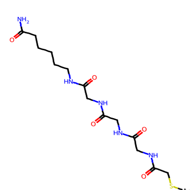 CC(=O)SCC(=O)NCC(=O)NCC(=O)NCC(=O)NCCCCCC(N)=O